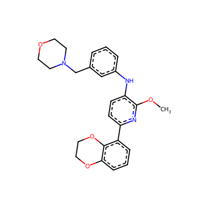 COc1nc(-c2cccc3c2OCCO3)ccc1Nc1cccc(CN2CCOCC2)c1